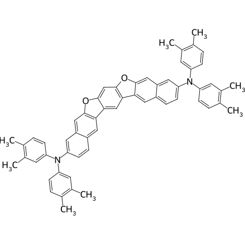 Cc1ccc(N(c2ccc(C)c(C)c2)c2ccc3cc4c(cc3c2)oc2cc3oc5cc6cc(N(c7ccc(C)c(C)c7)c7ccc(C)c(C)c7)ccc6cc5c3cc24)cc1C